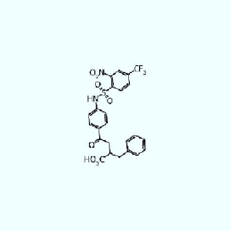 O=C(CC(Cc1ccccc1)C(=O)O)c1ccc(NS(=O)(=O)c2ccc(C(F)(F)F)cc2[N+](=O)[O-])cc1